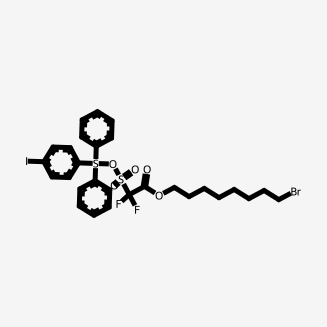 O=C(OCCCCCCCCBr)C(F)(F)S(=O)(=O)OS(c1ccccc1)(c1ccccc1)c1ccc(I)cc1